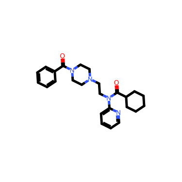 O=C(c1ccccc1)N1CCN(CCN(C(=O)C2CCCCC2)c2ccccn2)CC1